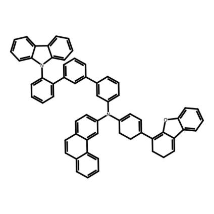 C1=C(C2=c3oc4ccccc4c3=CCC2)CCC(N(c2cccc(-c3cccc(-c4ccccc4-n4c5ccccc5c5ccccc54)c3)c2)c2ccc3ccc4ccccc4c3c2)=C1